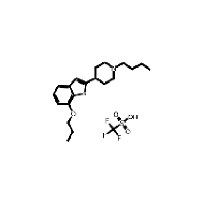 CCCCN1CCC(c2cc3cccc(OCCC)c3s2)CC1.O=S(=O)(O)C(F)(F)F